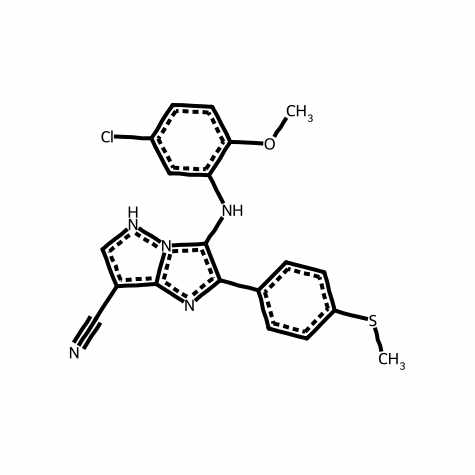 COc1ccc(Cl)cc1Nc1c(-c2ccc(SC)cc2)nc2c(C#N)c[nH]n12